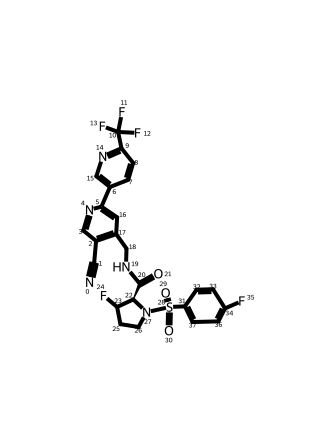 N#Cc1cnc(-c2ccc(C(F)(F)F)nc2)cc1CNC(=O)[C@@H]1C(F)CCN1S(=O)(=O)c1ccc(F)cc1